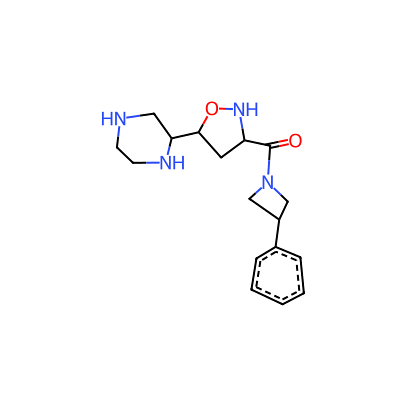 O=C(C1CC(C2CNCCN2)ON1)N1CC(c2ccccc2)C1